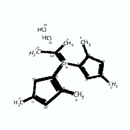 CC1=CC(C)[C]([Zr]([C]2=C(C)C=C(C)C2)=[C](C)C)=C1.Cl.Cl